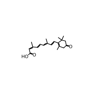 CC1=C(/C=C/C(C)=C/C=C/C(C)=C\C(=O)O)C(C)(C)CC(=O)C1